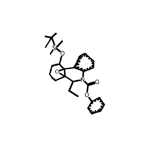 CCC1N(C(=O)Oc2ccccc2)c2ccccc2C23OC12CCCC3O[Si](C)(C)C(C)(C)C